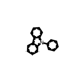 [c]1[c]cc2c3ccccc3n(-c3ccccc3)c2[c]1